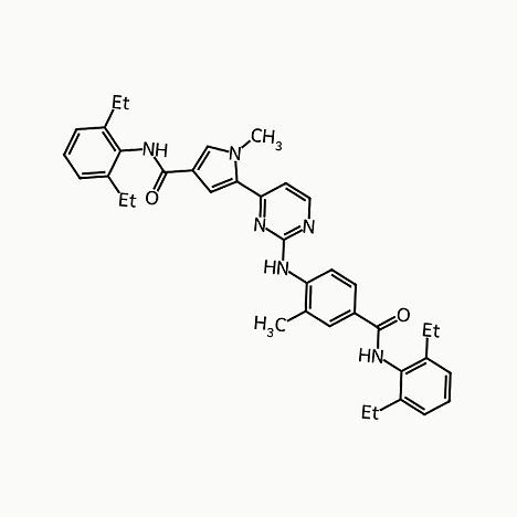 CCc1cccc(CC)c1NC(=O)c1ccc(Nc2nccc(-c3cc(C(=O)Nc4c(CC)cccc4CC)cn3C)n2)c(C)c1